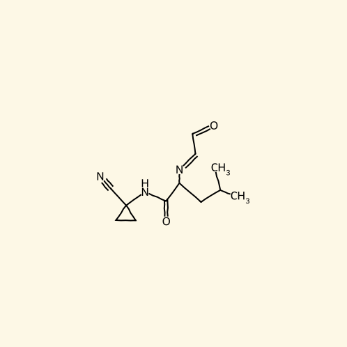 CC(C)CC(N=CC=O)C(=O)NC1(C#N)CC1